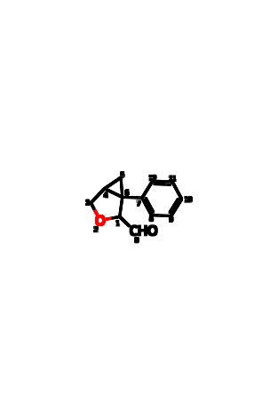 O=CC1OCC2CC21c1ccccc1